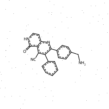 N#Cc1c(-c2ccccc2)c(-c2ccc(CN)cc2)nc2cc[nH]c(=O)c12